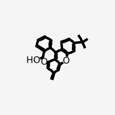 C=c1ccc2c(c1)Oc1cc(C(C)(C)C)ccc1C=2c1ccccc1C(=O)O